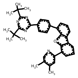 Cc1cnc(-c2cccc3c2oc2c(-c4ccc(-c5nc(C(C)(C)C)nc(C(C)(C)C)n5)cc4)cccc23)cc1C